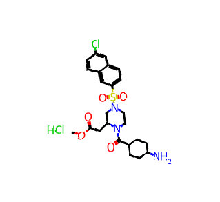 COC(=O)CC1CN(S(=O)(=O)c2ccc3cc(Cl)ccc3c2)CCN1C(=O)C1CCC(N)CC1.Cl